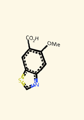 COc1cc2ncsc2cc1C(=O)O